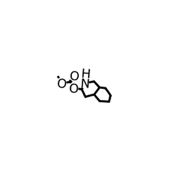 COC(=O)OC1CC2CCCCC2CN1